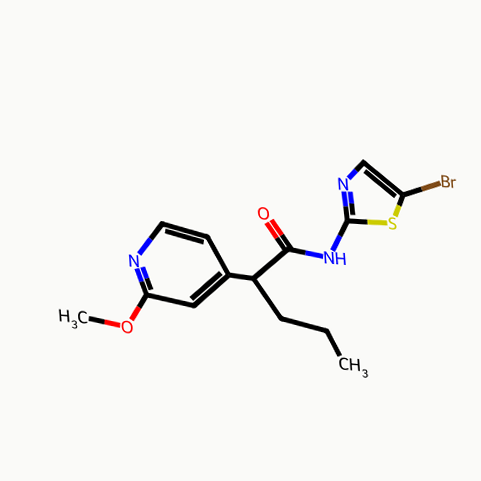 CCCC(C(=O)Nc1ncc(Br)s1)c1ccnc(OC)c1